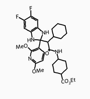 CCOC(=O)C1CCC(NC(=O)C(C2CCCCC2)C2(c3ccc(OC)nc3OC)Nc3cc(F)c(F)cc3N2)CC1